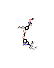 COc1cc(-c2nc(OC(C)C)cs2)ccc1OCCCOc1ccc2[nH]c(C(C)C(=O)O)cc2c1